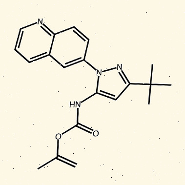 C=C(C)OC(=O)Nc1cc(C(C)(C)C)nn1-c1ccc2ncccc2c1